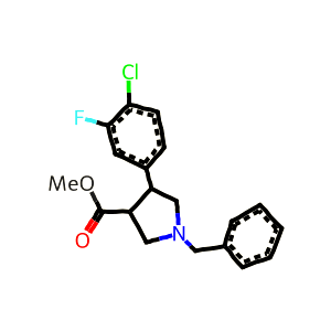 COC(=O)C1CN(Cc2ccccc2)CC1c1ccc(Cl)c(F)c1